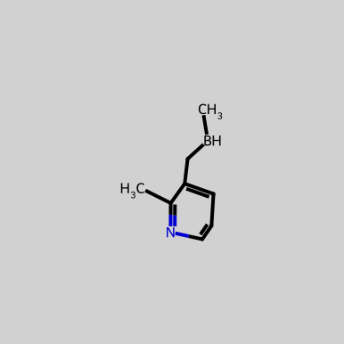 CBCc1cccnc1C